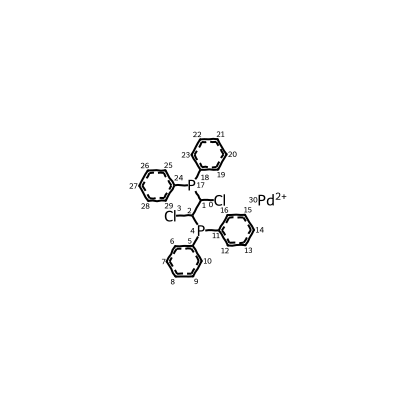 ClC(C(Cl)P(c1ccccc1)c1ccccc1)P(c1ccccc1)c1ccccc1.[Pd+2]